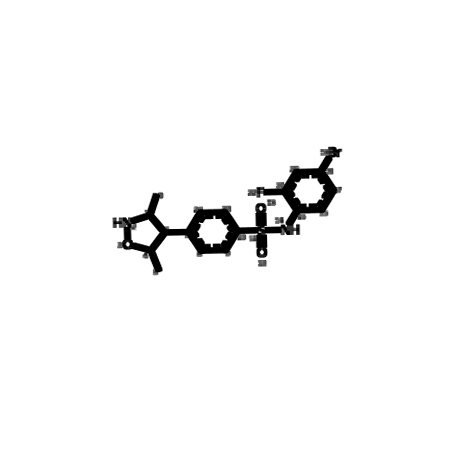 CC1NOC(C)C1c1ccc(S(=O)(=O)Nc2ccc(Br)cc2F)cc1